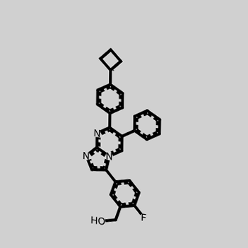 OCc1cc(-c2cnc3nc(-c4ccc([C]5CCC5)cc4)c(-c4ccccc4)cn23)ccc1F